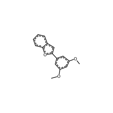 COc1cc(OC)cc(-c2cc3ccccc3o2)c1